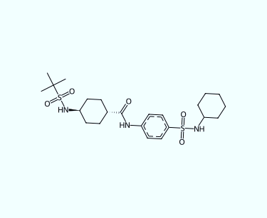 CC(C)(C)S(=O)(=O)N[C@H]1CC[C@H](C(=O)Nc2ccc(S(=O)(=O)NC3CCCCC3)cc2)CC1